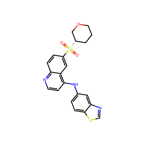 O=S(=O)(c1ccc2nccc(Nc3ccc4scnc4c3)c2c1)[C@H]1CCCOC1